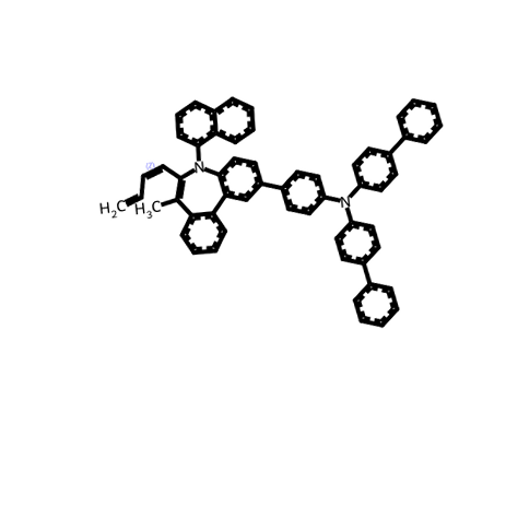 C=C/C=C\C1=C(C)c2ccccc2-c2cc(-c3ccc(N(c4ccc(-c5ccccc5)cc4)c4ccc(-c5ccccc5)cc4)cc3)ccc2N1c1cccc2ccccc12